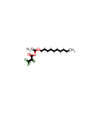 CCCCCCCCCCOC(C)OC(=O)C(F)=C(F)F